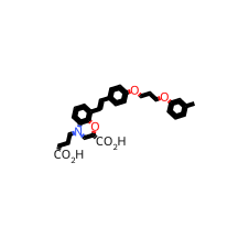 Cc1cccc(OCCCOc2ccc(C=Cc3cccc4c3OC(C(=O)O)CN4CCCC(=O)O)cc2)c1